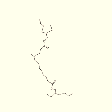 CCCCC(CC)COC(=O)CCCCCCCC(C)CCC(=O)OCC(CC)CCCC